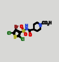 O=C(NS(=O)(=O)c1c(Cl)sc(Cl)c1Br)C1CCN(C(=O)O)CC1